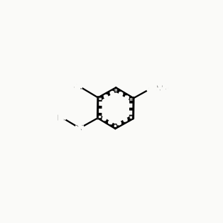 COc1ccc(NS)c(Cl)c1